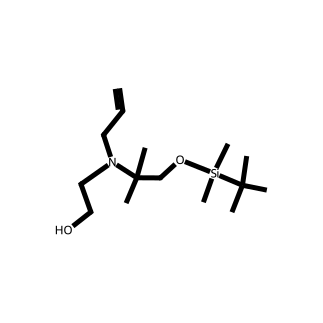 C=CCN(CCO)C(C)(C)CO[Si](C)(C)C(C)(C)C